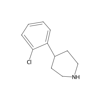 Clc1ccccc1C1CCNCC1